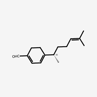 CC(C)=CCC[C@H](C)C1=CC=C(C=O)CC1